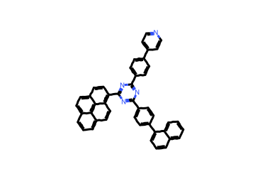 c1ccc2c(-c3ccc(-c4nc(-c5ccc(-c6ccncc6)cc5)nc(-c5ccc6ccc7cccc8ccc5c6c78)n4)cc3)cccc2c1